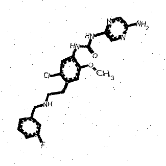 COc1cc(CCNCc2cccc(F)c2)c(Cl)cc1NC(=O)Nc1cnc(N)cn1